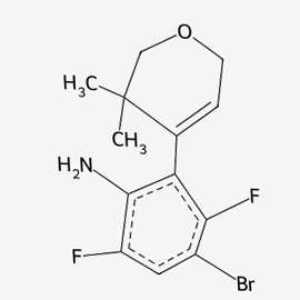 CC1(C)COCC=C1c1c(N)c(F)cc(Br)c1F